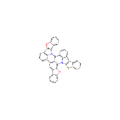 c1ccc2c(c1)oc1c3c4c(cc12)-c1cccc2c5oc6ccccc6c5n(c12)B4c1cccc2c4c5ccccc5sc4n-3c12